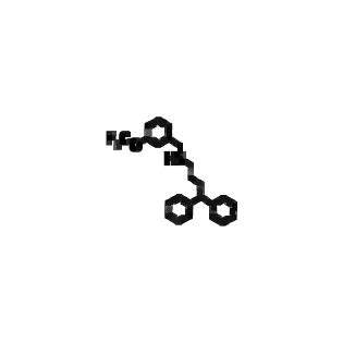 FC(F)(F)Oc1cccc(CNCCC=C(c2ccccc2)c2ccccc2)c1